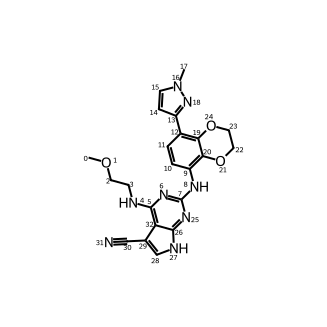 COCCNc1nc(Nc2ccc(-c3ccn(C)n3)c3c2OCCO3)nc2[nH]cc(C#N)c12